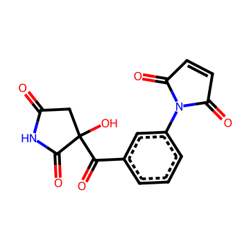 O=C1CC(O)(C(=O)c2cccc(N3C(=O)C=CC3=O)c2)C(=O)N1